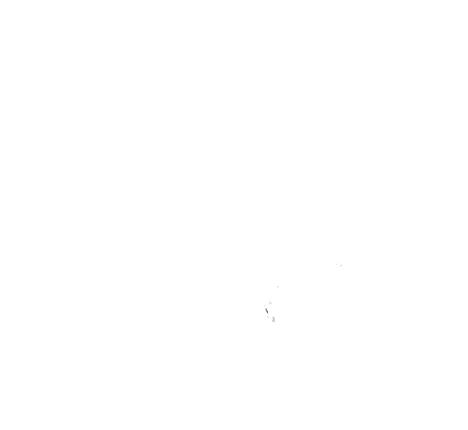 COOP(=O)(OC(=O)[C@@H](N)Cc1ccccc1)Oc1ccc(C)cc1